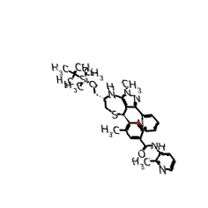 Cc1cc(C(=O)Nc2cccnc2C)ccc1[C@H]1SC[C@H](CO[Si](C)(C)C(C)(C)C)Nc2c1c(-c1ccccn1)nn2C